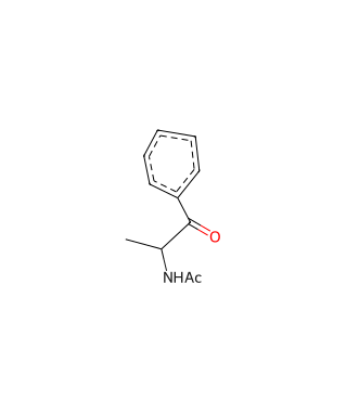 CC(=O)NC(C)C(=O)c1ccccc1